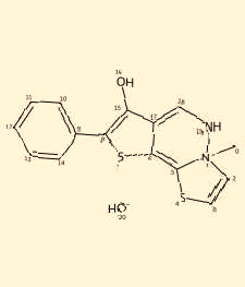 C[N+]12C=CSC1=c1sc(-c3ccccc3)c(O)c1=CN2.[OH-]